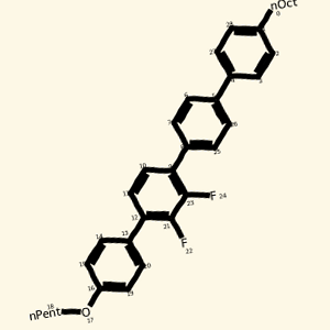 CCCCCCCCc1ccc(-c2ccc(-c3ccc(-c4ccc(OCCCCC)cc4)c(F)c3F)cc2)cc1